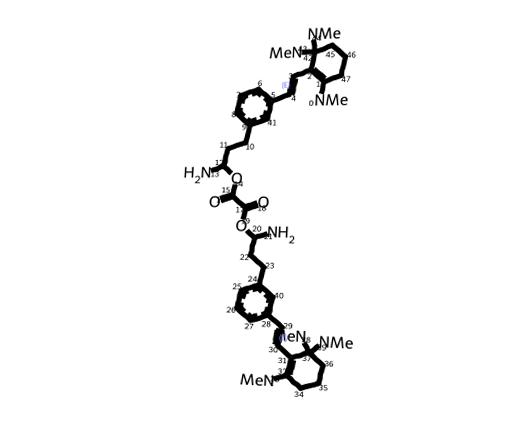 CNC1=C(/C=C/c2cccc(CCC(N)OC(=O)C(=O)OC(N)CCc3cccc(/C=C/C4=C(NC)CCCC4(NC)NC)c3)c2)C(NC)(NC)CCC1